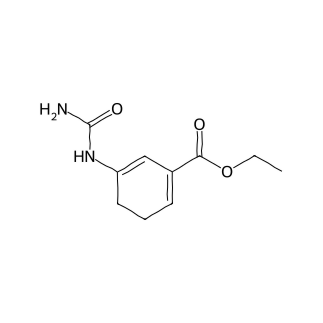 CCOC(=O)C1=CCCC(NC(N)=O)=C1